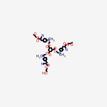 CN(CCOC(=O)C1CC(C(=O)OCCN(C)c2ccc(/C=C(\C#N)C(=O)OCC3CO3)cc2)CC(C(=O)OCCN(C)c2ccc(/C=C(\C#N)C(=O)OCC3CO3)cc2)C1)c1ccc(/C=C(\C#N)C(=O)OCCCO)cc1